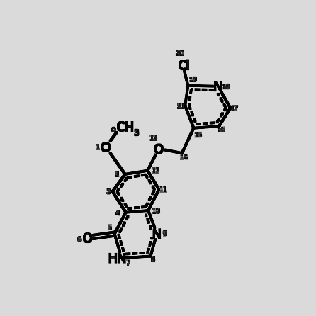 COc1cc2c(=O)[nH]cnc2cc1OCc1ccnc(Cl)c1